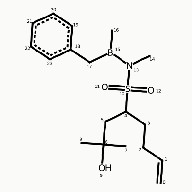 C=CCCC(CC(C)(C)O)S(=O)(=O)N(C)B(C)Cc1ccccc1